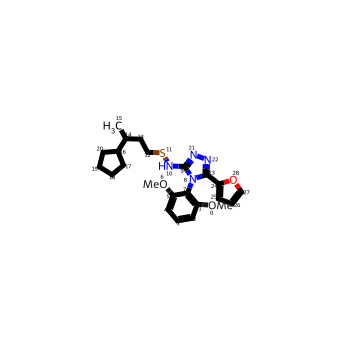 COc1cccc(OC)c1-n1c(NSCCC(C)C2CCCC2)nnc1-c1ccco1